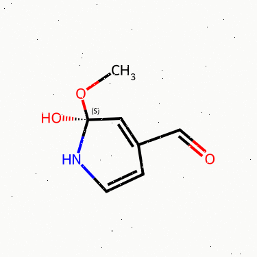 CO[C@@]1(O)C=C(C=O)C=CN1